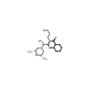 CCCC(c1nc2ccccc2c(=O)n1CCNC)N1C[C@@H](C)N[C@@H](C)C1